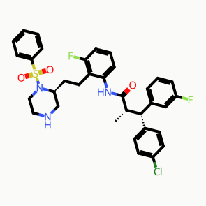 C[C@H](C(=O)Nc1cccc(F)c1CC[C@H]1CNCCN1S(=O)(=O)c1ccccc1)[C@@H](c1ccc(Cl)cc1)c1cccc(F)c1